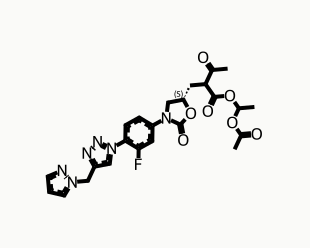 CC(=O)OC(C)OC(=O)C(C[C@H]1CN(c2ccc(-n3cc(Cn4cccn4)nn3)c(F)c2)C(=O)O1)C(C)=O